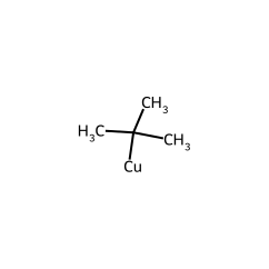 C[C](C)(C)[Cu]